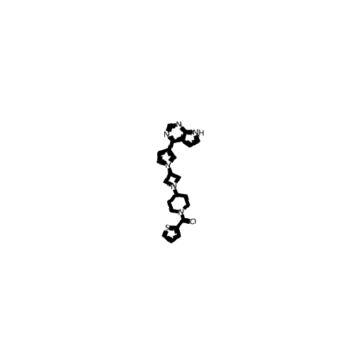 O=C(c1cccs1)N1CCC(N2C[C](n3ccc(-c4ncnc5[nH]ccc45)c3)C2)CC1